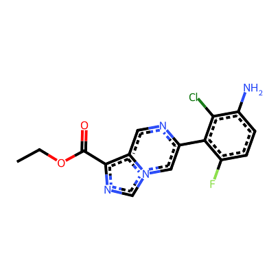 CCOC(=O)c1ncn2cc(-c3c(F)ccc(N)c3Cl)ncc12